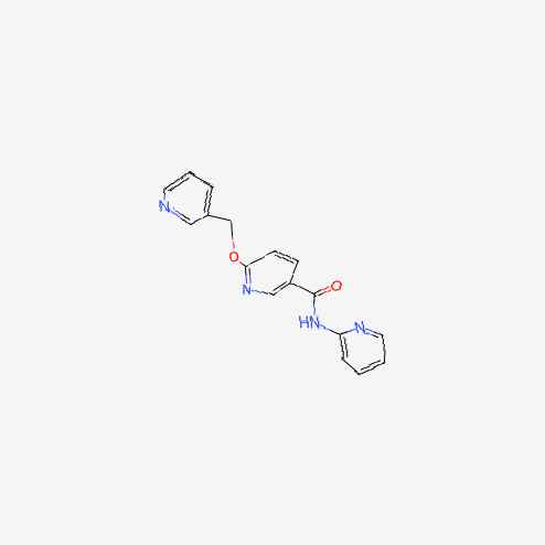 O=C(Nc1ccccn1)c1ccc(OCc2cccnc2)nc1